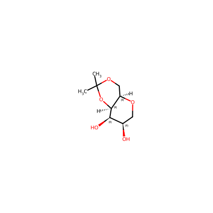 CC1(C)OC[C@H]2OC[C@@H](O)[C@@H](O)[C@H]2O1